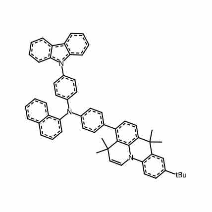 CC(C)(C)c1ccc2c(c1)C(C)(C)c1ccc(-c3ccc(N(c4ccc(-n5c6ccccc6c6ccccc65)cc4)c4cccc5ccccc45)cc3)c3c1N2C=CC3(C)C